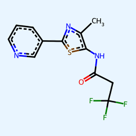 Cc1nc(-c2cccnc2)sc1NC(=O)CC(F)(F)F